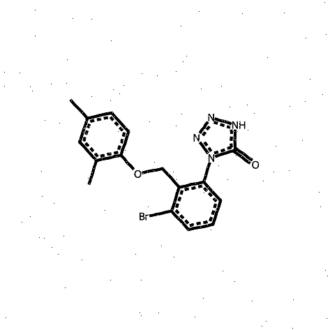 Cc1ccc(OCc2c(Br)cccc2-n2nn[nH]c2=O)c(C)c1